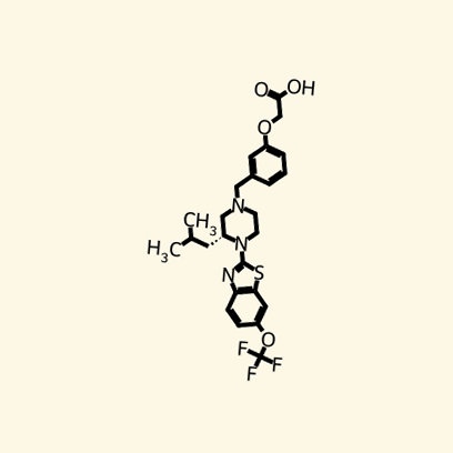 CC(C)C[C@@H]1CN(Cc2cccc(OCC(=O)O)c2)CCN1c1nc2ccc(OC(F)(F)F)cc2s1